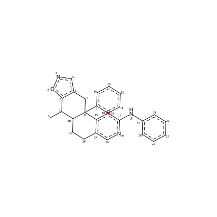 CC1c2oncc2CC2(c3ccccc3)c3nc(Nc4ccccc4)ncc3CCC12